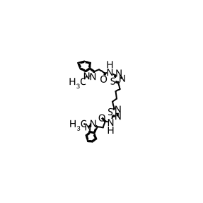 Cn1nc(CC(=O)Nc2nnc(CCCCc3nnc(NC(=O)Cc4nn(C)c5ccccc45)s3)s2)c2ccccc21